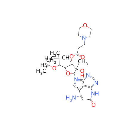 C[SiH](C)OC(C1OC(n2cc3c4c(ncnc42)NC(=O)C=C3N)C(C)(O)C1OC(=O)CCN1CCOCC1)C(C)(C)C